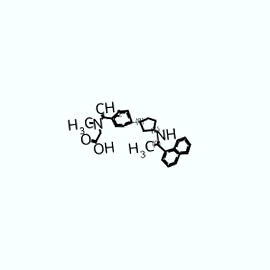 C=C(c1ccc([C@@H]2CC[C@H](N[C@H](C)c3cccc4ccccc34)C2)cc1)N(C)CC(=O)O